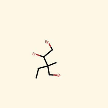 C[CH]C(C)(CBr)C(Br)CBr